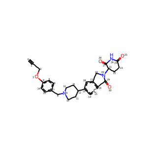 C#CCOc1ccc(CN2CCC(c3ccc4c(c3)CN(C3CCC(=O)NC3=O)C4=O)CC2)cc1